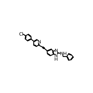 Clc1ccc(-c2ccc(C#Cc3ccc4[nH]c(NCc5ccccc5)nc4c3)nc2)cc1